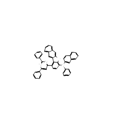 c1ccc(-c2cc(-c3ccc(N(c4ccccc4)c4ccc5ccccc5c4)c4oc5cc6ccccc6cc5c34)nc(-c3ccccc3)n2)cc1